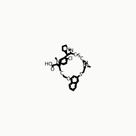 Cn1nc2nc1CSc1cc(c3ccccc3c1)OCCCc1c(C(=O)O)n(C)c3c(c(Cl)ccc13)-c1c(nn3c1CCC3)CSC2